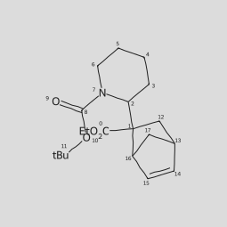 CCOC(=O)C1(C2CCCCN2C(=O)OC(C)(C)C)CC2C=CC1C2